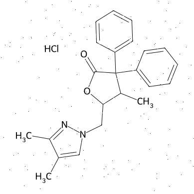 Cc1cn(CC2OC(=O)C(c3ccccc3)(c3ccccc3)C2C)nc1C.Cl